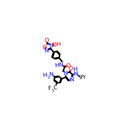 CC(C)Nc1ncc(-c2cc(N)cc(C(F)(F)F)c2)n(CC(=O)NCc2ccc(-c3noc(=O)n3O)cc2)c1=O